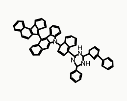 C1=CC2=C(c3c4ccccc4cc4c3c3ccccc3n4C3C=CC(C4=NC(c5ccccc5)NC(C5C=C(c6ccccc6)C=CC5)N4)=C4C=CC=CC43)c3ccc4ccccc4c3C2C=C1